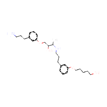 CC(NCCCc1cccc(OCCCCCO)c1)C(O)COc1cccc(CCCN)c1